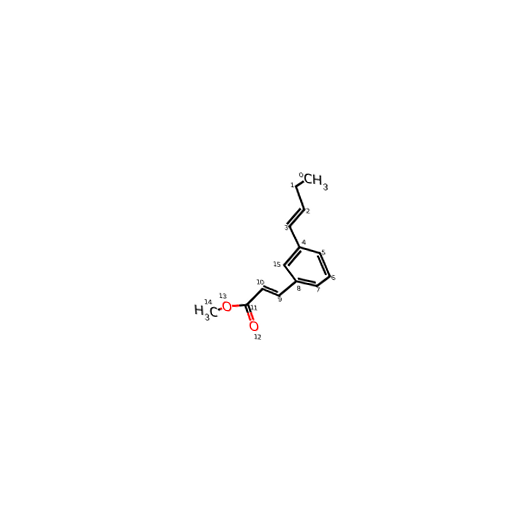 CCC=Cc1cccc(C=CC(=O)OC)c1